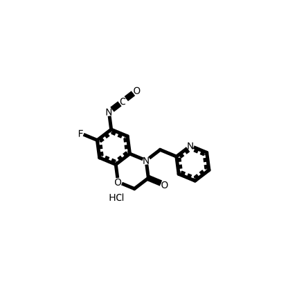 Cl.O=C=Nc1cc2c(cc1F)OCC(=O)N2Cc1ccccn1